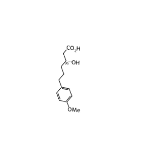 COc1ccc(CCC[C@@H](O)CC(=O)O)cc1